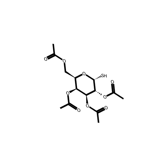 CC(=O)OC[C@H]1O[C@H](S)[C@H](OC(C)=O)[C@@H](OC(C)=O)[C@H]1OC(C)=O